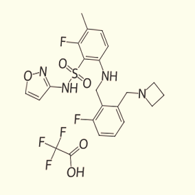 Cc1ccc(NCc2c(F)cccc2CN2CCC2)c(S(=O)(=O)Nc2ccon2)c1F.O=C(O)C(F)(F)F